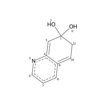 OC1(O)C=c2ncccc2=CC1